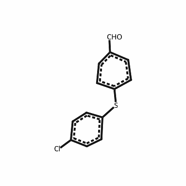 O=Cc1ccc(Sc2ccc(Cl)cc2)cc1